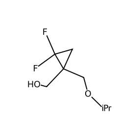 CC(C)OCC1(CO)CC1(F)F